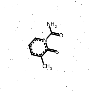 Cc1cccn(C(N)=O)c1=S